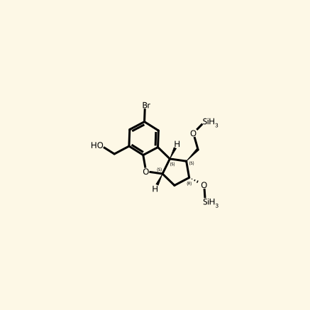 OCc1cc(Br)cc2c1O[C@H]1C[C@@H](O[SiH3])[C@H](CO[SiH3])[C@@H]21